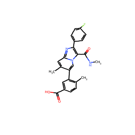 CNC(=O)c1c(-c2ccc(F)cc2)nc2cc(C)c(-c3cc(C(=O)O)ccc3C)cn12